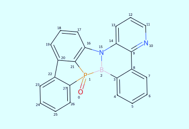 O=P12B3c4ccccc4-c4ncccc4N3c3cccc(c31)-c1ccccc12